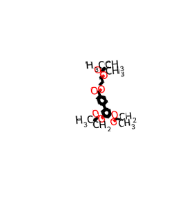 C=C(C)C(=O)Oc1cc(OC(=O)C(=C)C)cc(-c2ccc(C(=O)OCCCOC(=O)C(C)(C)C)cc2)c1